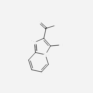 CCC(=O)c1nc2ccccn2c1C